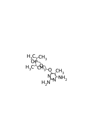 Cc1c(N)nc(N)nc1OCCOCP(=O)(C(C)C)C(C)C